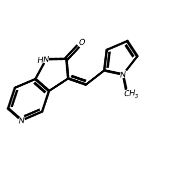 Cn1cccc1C=C1C(=O)Nc2ccncc21